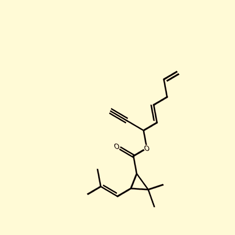 C#CC(C=CCC=C)OC(=O)C1C(C=C(C)C)C1(C)C